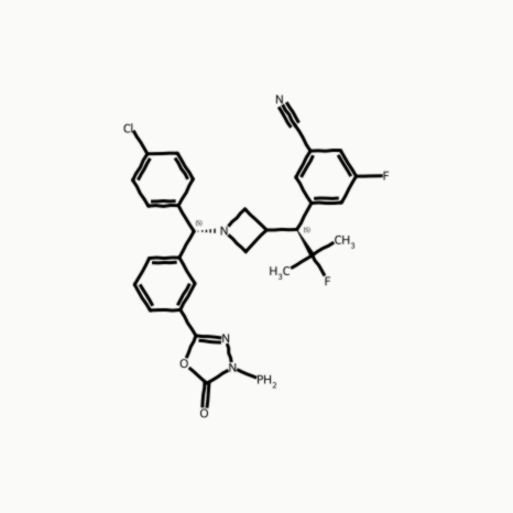 CC(C)(F)[C@H](c1cc(F)cc(C#N)c1)C1CN([C@@H](c2ccc(Cl)cc2)c2cccc(-c3nn(P)c(=O)o3)c2)C1